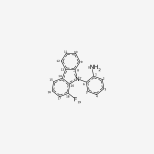 Nc1ccccc1-n1c2ccccc2c2cccc(F)c21